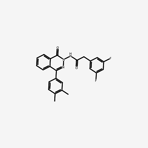 Cc1ccc(-c2nn(NC(=O)Cc3cc(F)cc(F)c3)c(=O)c3ccccc23)cc1C